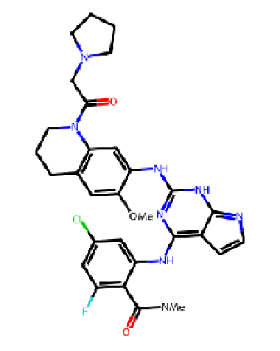 CNC(=O)c1c(F)cc(Cl)cc1Nc1nc(Nc2cc3c(cc2OC)CCCN3C(=O)CN2CCCC2)[nH]c2nccc1-2